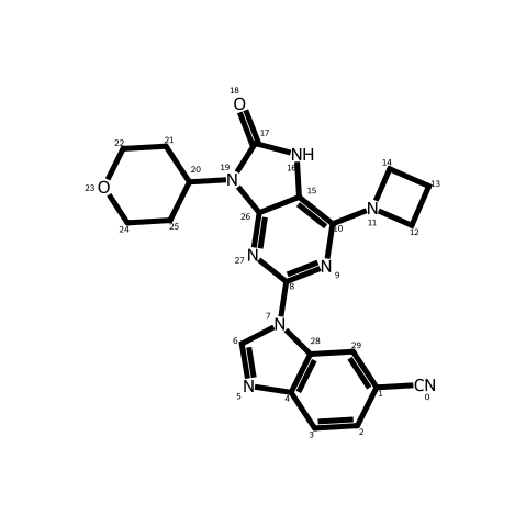 N#Cc1ccc2ncn(-c3nc(N4CCC4)c4[nH]c(=O)n(C5CCOCC5)c4n3)c2c1